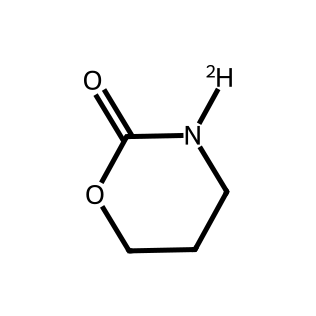 [2H]N1CCCOC1=O